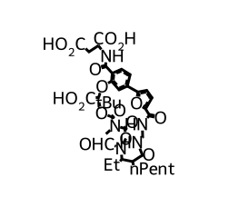 CCCCCC(C(=O)NCNC(=O)c1ccc(-c2ccc(C(=O)NC(CC(=O)O)C(=O)O)c(OCC(=O)O)c2)o1)C(CC)N(C=O)OC(=O)N(C)C(=O)OC(C)(C)C